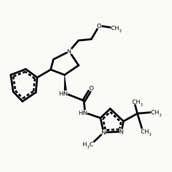 COCCN1CC(c2ccccc2)[C@H](NC(=O)Nc2cc(C(C)(C)C)nn2C)C1